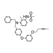 CC#CCCOc1cccc(Oc2ccc(CN(Cc3ccccc3)c3cccc(NS(C)(=O)=O)c3C)cc2)c1